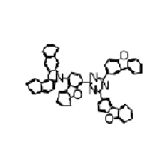 c1ccc2cc3c(cc2c1)c1c2ccccc2ccc1n3-c1ccc(-c2nc(-c3ccc4oc5ccccc5c4c3)nc(-c3ccc4oc5ccccc5c4c3)n2)c2oc3ccccc3c12